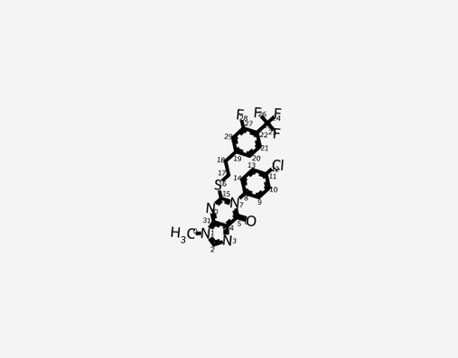 Cn1cnc2c(=O)n(-c3ccc(Cl)cc3)c(SCCc3ccc(C(F)(F)F)c(F)c3)nc21